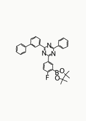 CC1(C)OB(c2cc(-c3nc(-c4ccccc4)nc(-c4cccc(-c5ccccc5)c4)n3)ccc2F)OC1(C)C